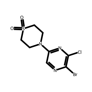 O=S1(=O)CCN(c2cnc(Br)c(Cl)n2)CC1